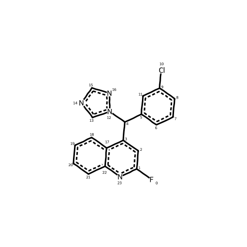 Fc1cc(C(c2cccc(Cl)c2)n2cncn2)c2ccccc2n1